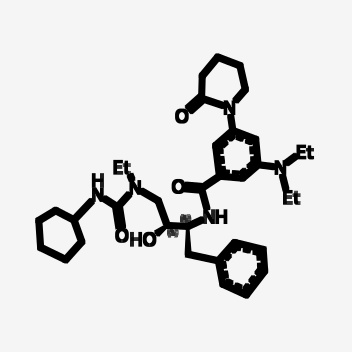 CCN(C[C@H](O)[C@H](Cc1ccccc1)NC(=O)c1cc(N(CC)CC)cc(N2CCCCC2=O)c1)C(=O)NC1CCCCC1